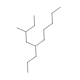 CC[CH]C(CCCCC)CC(C)CC